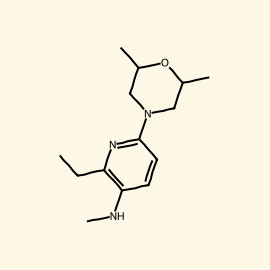 CCc1nc(N2CC(C)OC(C)C2)ccc1NC